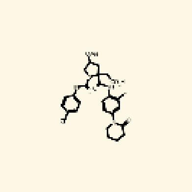 COC1CN(C(=O)Nc2ccc(Cl)cc2)C(CC(=O)O)(C(=O)Nc2ccc(N3CCCCC3=O)cc2F)C1